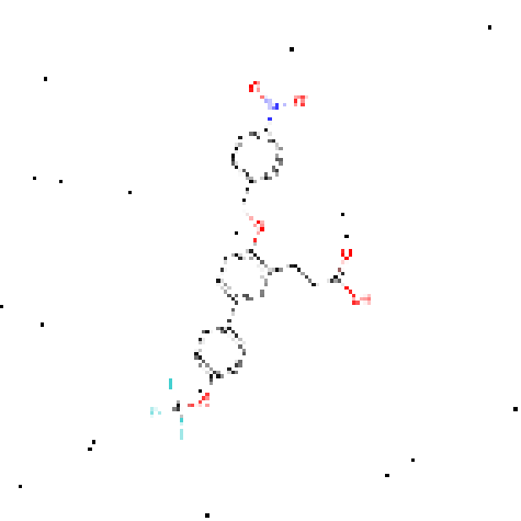 O=C(O)CCc1cc(-c2ccc(OC(F)(F)F)cc2)ccc1OCc1ccc([N+](=O)[O-])cc1